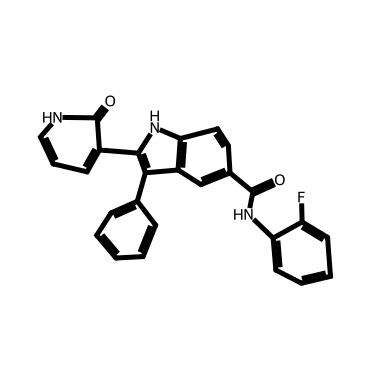 O=C(Nc1ccccc1F)c1ccc2[nH]c(-c3ccc[nH]c3=O)c(-c3ccccc3)c2c1